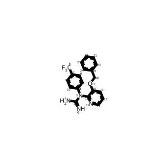 N=C(N)N(c1ccc(C(F)(F)F)cc1)c1ncccc1OCc1ccccc1